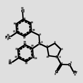 CC(C)OC(=O)N1CCC(N(Cc2cc(Cl)cc(C(F)(F)F)c2)c2ncc(Br)cn2)C1